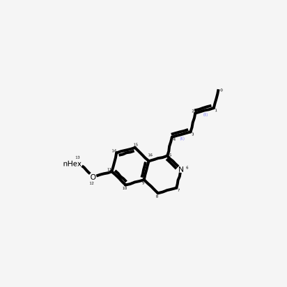 C/C=C/C=C/C1=NCCc2cc(OCCCCCC)ccc21